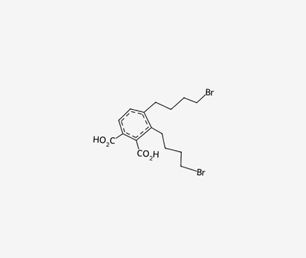 O=C(O)c1ccc(CCCCBr)c(CCCCBr)c1C(=O)O